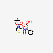 CC(C)(C)OC(=O)N1CCSC1C(=O)N[C@@H](CCO)c1ccccc1